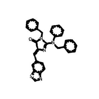 O=C1/C(=C/c2ccc3ncsc3c2)N=C(N(Cc2ccccc2)c2ccccc2)N1Cc1ccccc1